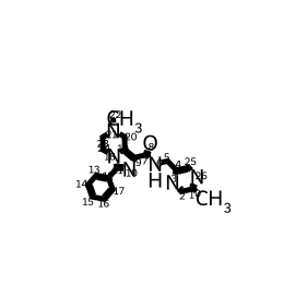 Cc1cnc(CNC(=O)c2nc(-c3ccccc3)n3c2CN(C)CC3)cn1